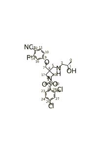 C[C@@H](O)CNCC1(COc2ccc(C#N)c(F)c2)CN(S(=O)(=O)c2ccc(Cl)cc2Cl)C1